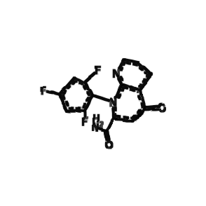 NC(=O)c1cc(=O)c2cccnc2n1-c1c(F)cc(F)cc1F